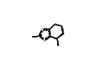 Cc1nc2c(o1)C(C)CCC2